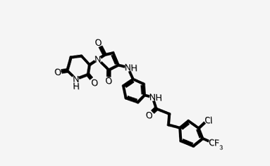 O=C1CCC(N2C(=O)C=C(Nc3cccc(NC(=O)CCc4ccc(C(F)(F)F)c(Cl)c4)c3)C2=O)C(=O)N1